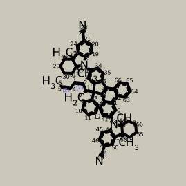 C=C(/C=C\C=C/C)C1(c2ccccc2)c2cc(N3c4ccc(C#N)cc4C4(C)CCCCC34C)ccc2-c2c1c1ccc(N3c4ccc(C#N)cc4C4(C)CCCCC34C)cc1c1ccccc21